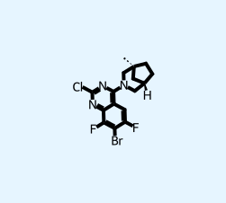 C[C@@]12CC[C@H](CN(c3nc(Cl)nc4c(F)c(Br)c(F)cc34)C1)C2